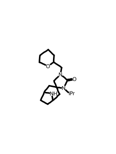 CC(C)N1C(=O)N(CC2CCCCO2)CC12CC1CCC(C2)N1